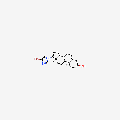 C[C@]12CC[C@H](O)CC1=CCC1C2CC[C@]2(C)C(n3cnc(Br)c3)=CCC12